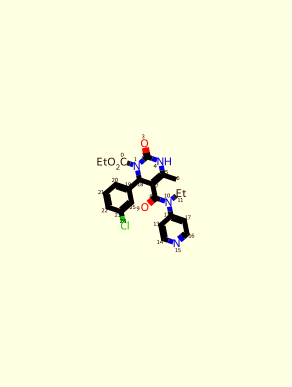 CCOC(=O)N1C(=O)NC(C)=C(C(=O)N(CC)c2ccncc2)C1c1cccc(Cl)c1